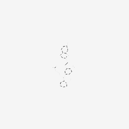 O=C([O-])CCSC1c2ccccc2CSc2ccc(C=Cc3ccc4cc(F)c(F)cc4n3)cc21.[Na+]